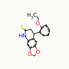 CCOc1ccccc1C1CC(=S)Nc2cc3c(cc21)OCO3